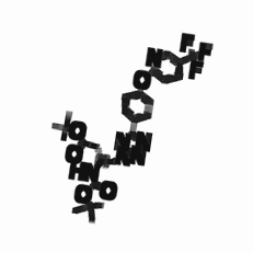 CC(C)(C)OC(=O)C[C@H](Cn1nnc(-c2ccc(Oc3ccc(C(F)(F)F)cn3)cc2)n1)NC(=O)OC(C)(C)C